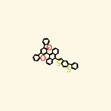 c1ccc2c(c1)oc1c(-c3c4ccccc4c(-c4cc5cc6c(cc5s4)sc4ccccc46)c4ccccc34)c3oc4ccccc4c3cc12